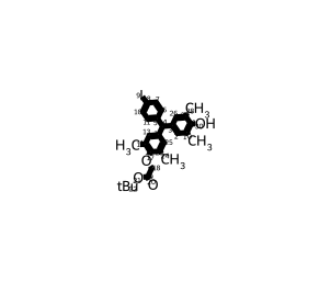 Cc1cc(C(c2ccc(I)cc2)c2cc(C)c(OCC(=O)OC(C)(C)C)c(C)c2)cc(C)c1O